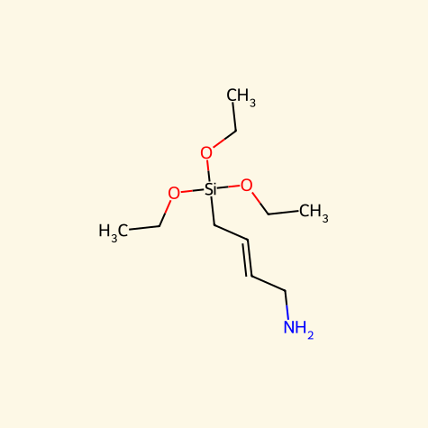 CCO[Si](CC=CCN)(OCC)OCC